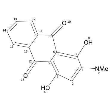 CNc1cc(O)c2c(c1O)C(=O)c1ccccc1C2=O